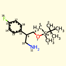 CC(C)(C)[Si](C)(C)OCC(CN)c1ccc(F)cc1